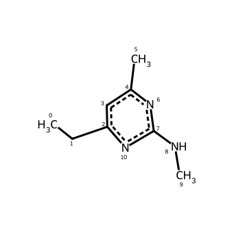 CCc1cc(C)nc(NC)n1